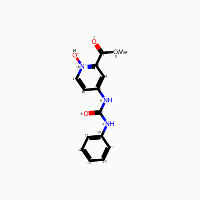 COC(=O)c1cc(NC(=O)Nc2ccccc2)cc[n+]1[O-]